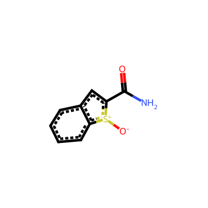 NC(=O)c1cc2ccccc2[s+]1[O-]